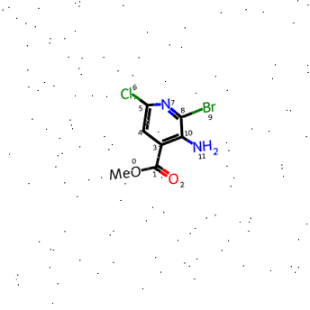 COC(=O)c1cc(Cl)nc(Br)c1N